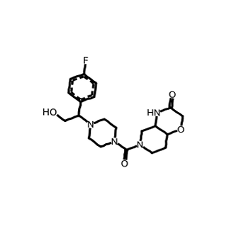 O=C1COC2CCN(C(=O)N3CCN(C(CO)c4ccc(F)cc4)CC3)CC2N1